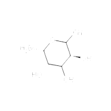 B[C@@H]1OC(C)[C@@H](O)C(O)[C@@H]1O